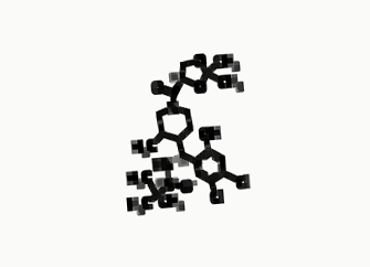 CC1CN(C(=O)[C@H]2COC(C)(C)O2)CCC1[C@@H](N[S@@+]([O-])C(C)(C)C)c1cc(Cl)c(Cl)cc1O